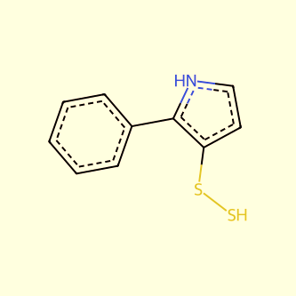 SSc1cc[nH]c1-c1ccccc1